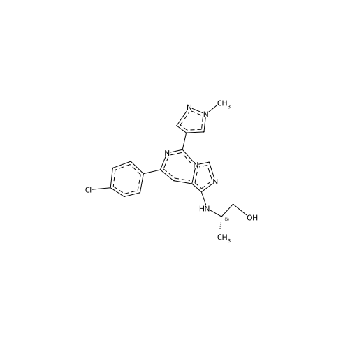 C[C@@H](CO)Nc1ncn2c(-c3cnn(C)c3)nc(-c3ccc(Cl)cc3)cc12